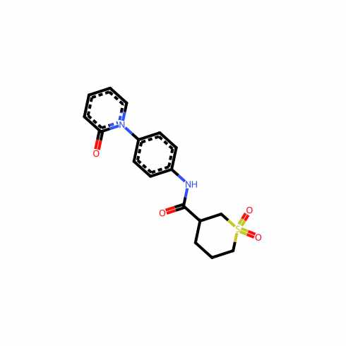 O=C(Nc1ccc(-n2ccccc2=O)cc1)[C]1CCCS(=O)(=O)C1